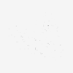 C=C/C=C\CN1C2=C(C=CC3Sc4ccccc4[C@@]23C)B2C3=C(C=C(N(c4ccccc4)C4C=CC=C5N(c6ccccc6)c6ccccc6[C@]54C)CC31)N(C1=CC(=C)CC=C1)c1c2ccc2sc3ccccc3c12